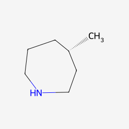 C[C@H]1CCCNCC1